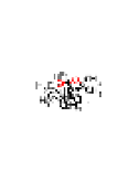 CCCC1(O[Si](C)(C)C)C[Si](C)(C)[Si](C)(C)[Si](C)(C)O1